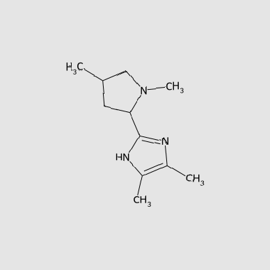 Cc1nc(C2CC(C)CN2C)[nH]c1C